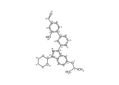 CC(C)Oc1ccc2c(c1)c(-c1nccc(-c3ccc(C=O)cc3O)n1)nn2C1CCCCO1